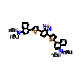 CCCCN(CCCC)c1ccc(-c2ccc(-c3ccc(-c4ccc(-c5ccc(N(CCCC)CCCC)c6ccccc56)s4)c4nsnc34)s2)c2ccccc12